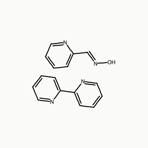 ON=Cc1ccccn1.c1ccc(-c2ccccn2)nc1